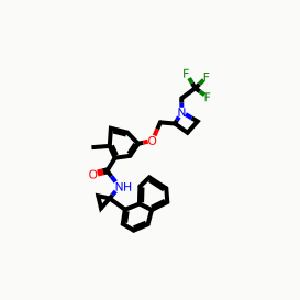 Cc1ccc(OCC2CCN2CC(F)(F)F)cc1C(=O)NC1(c2cccc3ccccc23)CC1